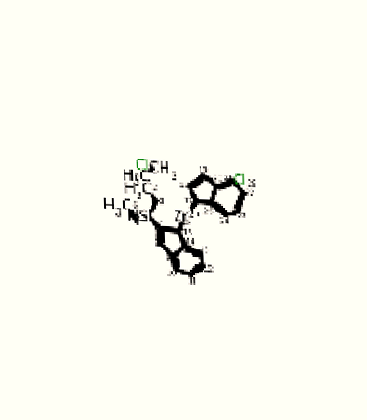 CC.CC[SiH](CC)C1=Cc2ccccc2[CH]1[Zr+2][CH]1C=Cc2ccccc21.[Cl-].[Cl-]